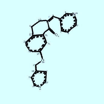 O=C1/C(=C\c2cccnc2)CCc2ccc(OCc3ccncc3)cc21